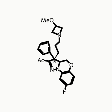 COC1CN(CCC[C@]2(c3ccccc3)C(C(C)=O)=NN3c4cc(F)ccc4OCC32)C1